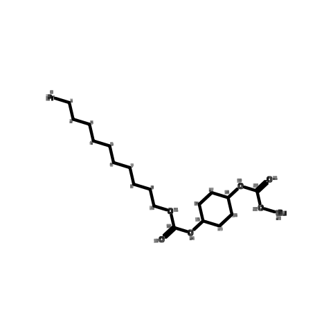 CC(C)CCCCCCCCCCOC(=O)OC1CCC(OC(=O)OC(C)(C)C)CC1